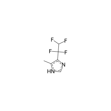 Cc1[nH]cnc1C(F)(F)C(F)F